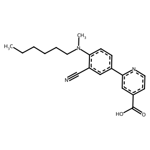 CCCCCCN(C)c1ccc(-c2cc(C(=O)O)ccn2)cc1C#N